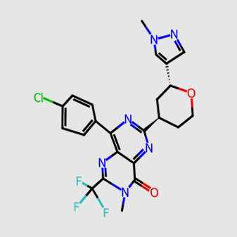 Cn1cc([C@H]2C[C@H](c3nc(-c4ccc(Cl)cc4)c4nc(C(F)(F)F)n(C)c(=O)c4n3)CCO2)cn1